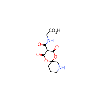 O=C(O)CNC(=O)C1C(=O)OC2(CCCNC2)OC1=O